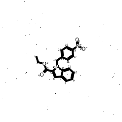 CCOC(=O)c1cc2ccccc2n1Cc1ccc([N+](=O)[O-])cc1